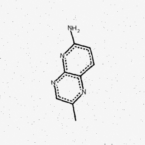 Cc1cnc2nc(N)ccc2n1